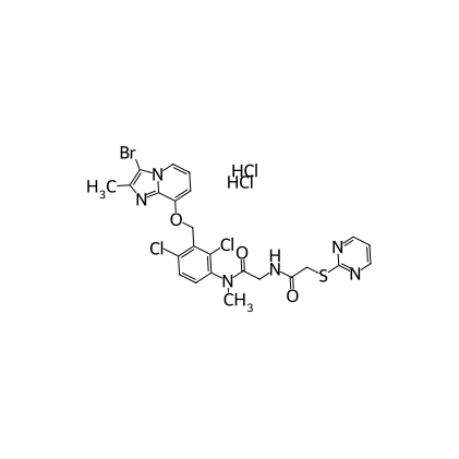 Cc1nc2c(OCc3c(Cl)ccc(N(C)C(=O)CNC(=O)CSc4ncccn4)c3Cl)cccn2c1Br.Cl.Cl